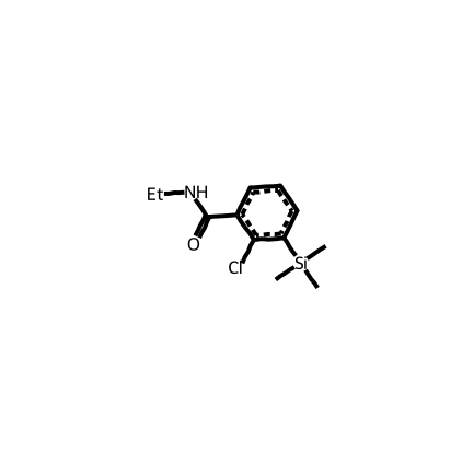 CCNC(=O)c1cccc([Si](C)(C)C)c1Cl